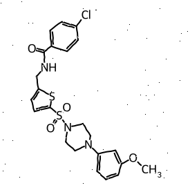 COc1cccc(N2CCN(S(=O)(=O)c3ccc(CNC(=O)c4ccc(Cl)cc4)s3)CC2)c1